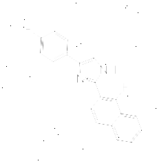 Fc1ccc(-c2c[nH]c(-c3ccc4ccccc4c3F)n2)cc1